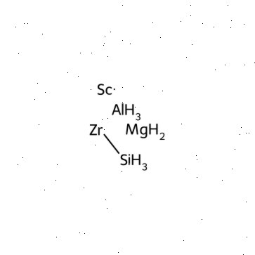 [AlH3].[MgH2].[Sc].[SiH3][Zr]